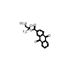 CC(CS(=O)(=O)O)(OC(=O)c1ccc2c(c1)C(=O)c1ccccc1C2=O)C(F)(F)F